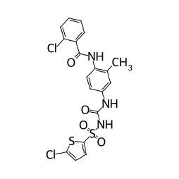 Cc1cc(NC(=O)NS(=O)(=O)c2ccc(Cl)s2)ccc1NC(=O)c1ccccc1Cl